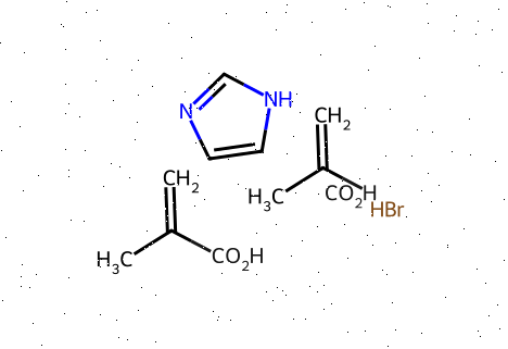 Br.C=C(C)C(=O)O.C=C(C)C(=O)O.c1c[nH]cn1